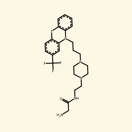 NCC(=O)NCCN1CCN(CCCN2c3ccccc3Sc3ccc(C(F)(F)F)cc32)CC1